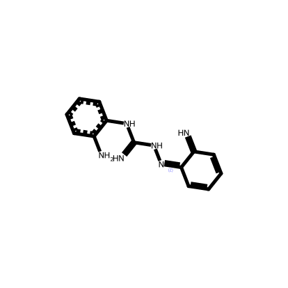 N=C(N/N=C1/C=CC=CC1=N)Nc1ccccc1N